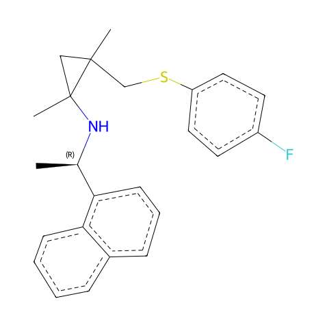 C[C@@H](NC1(C)CC1(C)CSc1ccc(F)cc1)c1cccc2ccccc12